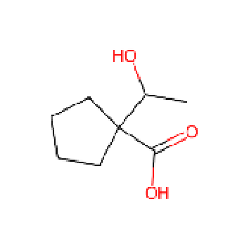 CC(O)C1(C(=O)O)CCCC1